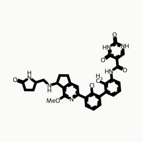 COc1nc(-c2cccc(-c3cccc(NC(=O)c4c[nH]c(=O)[nH]c4=O)c3C)c2Cl)cc2c1C(NCC1CCC(=O)N1)CC2